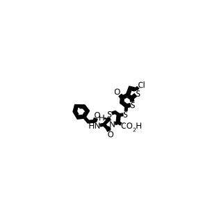 O=C(Cc1ccccc1)NC1C(=O)N2C(C(=O)O)=C(Sc3cc(=O)c4cc(Cl)sc4s3)CS[C@@H]12